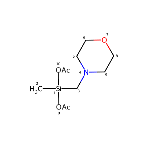 CC(=O)O[Si](C)(CN1CCOCC1)OC(C)=O